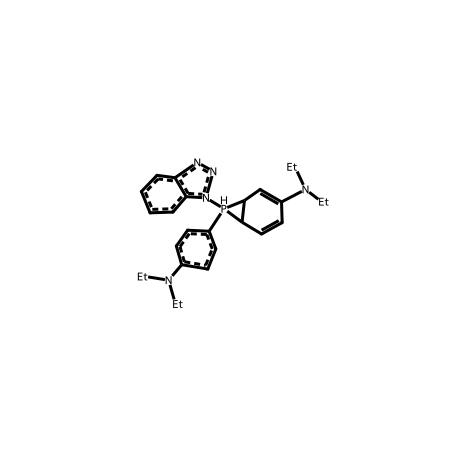 CCN(CC)C1=CC2C(C=C1)[PH]2(c1ccc(N(CC)CC)cc1)n1nnc2ccccc21